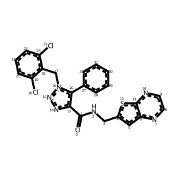 O=C(NCc1cc2nccnc2s1)c1nnn(Cc2c(Cl)cccc2Cl)c1-c1ccccc1